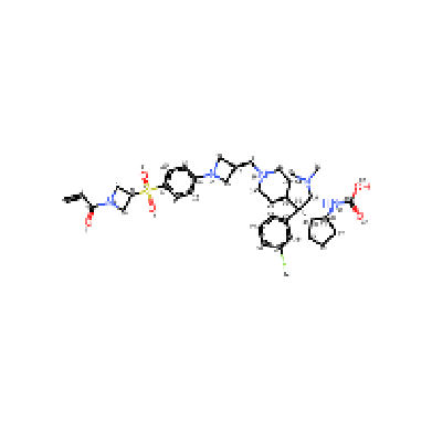 C=CC(=O)N1CC(S(=O)(=O)c2ccc(N3CC(CN4CCC(C(CN(C)C)(c5cccc(F)c5)[C@H]5CCC[C@@H]5NC(=O)O)CC4)C3)cc2)C1